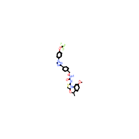 COc1ccc(C(C)C)c(N2C(=O)CS/C2=N\C(=O)NOCc2ccc(-c3ncn(-c4ccc(OC(F)(F)F)cc4)n3)cc2)c1